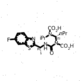 CCC[C@H](N(C(=O)O)C(=O)N[C@H](C)c1nc2ccc(F)cc2s1)N(C(=O)O)C(C)C